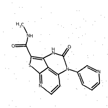 CNC(=O)c1sc2nccc3c2c1NC(=O)N3c1cccnc1